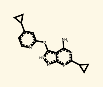 Nc1nc(C2CC2)nc2n[nH]c(Oc3cc(C4CC4)ccn3)c12